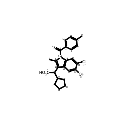 Cc1ccc(C(=S)n2c(C)c(C(C(=O)O)C3CCCC3)c3cc(O)c(Cl)cc32)cc1